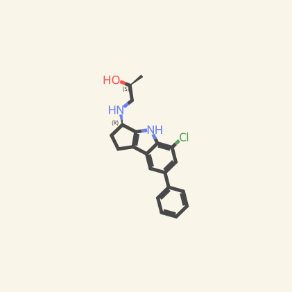 C[C@H](O)CN[C@@H]1CCc2c1[nH]c1c(Cl)cc(-c3ccccc3)cc21